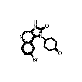 O=C1CCC(n2c(=O)[nH]c3cnc4ccc(Br)cc4c32)CC1